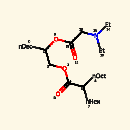 CCCCCCCCCCC(COC(=O)C(CCCCCC)CCCCCCCC)OC(=O)CN(CC)CC